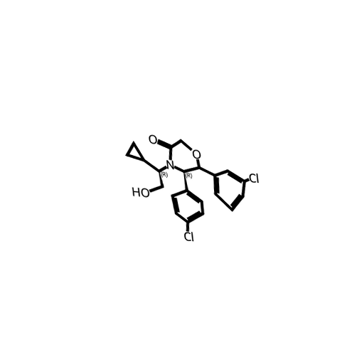 O=C1COC(c2cccc(Cl)c2)[C@@H](c2ccc(Cl)cc2)N1[C@@H](CO)C1CC1